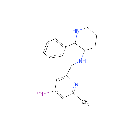 FC(F)(F)c1cc([125I])cc(CNC2CCCNC2c2ccccc2)n1